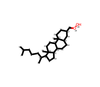 CC(C)CCCC(C)C1CCC2C3CCC4CC(COO)CCC4(C)C3CCC12C